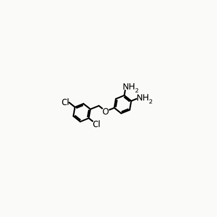 Nc1ccc(OCc2cc(Cl)ccc2Cl)cc1N